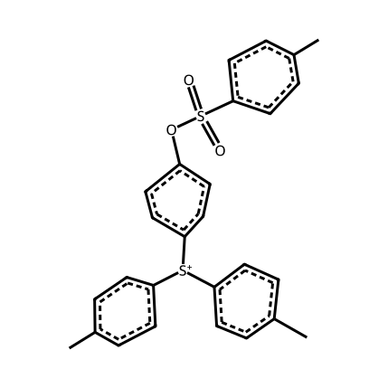 Cc1ccc([S+](c2ccc(C)cc2)c2ccc(OS(=O)(=O)c3ccc(C)cc3)cc2)cc1